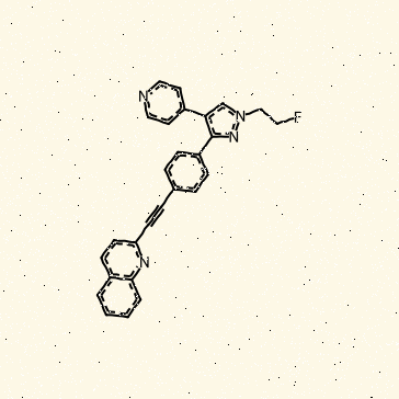 FCCn1cc(-c2ccncc2)c(-c2ccc(C#Cc3ccc4ccccc4n3)cc2)n1